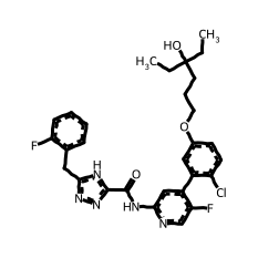 CCC(O)(CC)CCCOc1ccc(Cl)c(-c2cc(NC(=O)c3nnc(Cc4ccccc4F)[nH]3)ncc2F)c1